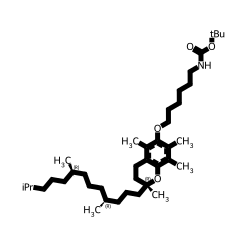 Cc1c(C)c2c(c(C)c1OCCCCCCNC(=O)OC(C)(C)C)CC[C@@](C)(CCC[C@H](C)CCC[C@H](C)CCCC(C)C)O2